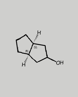 OC1C[C@H]2CCC[C@H]2C1